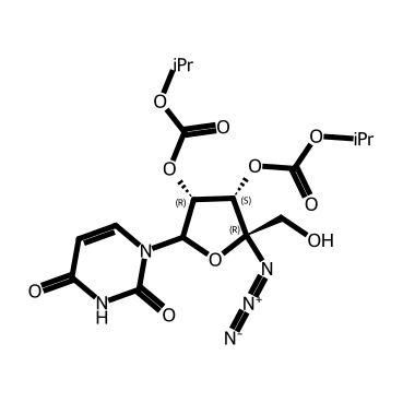 CC(C)OC(=O)O[C@H]1C(n2ccc(=O)[nH]c2=O)O[C@@](CO)(N=[N+]=[N-])[C@H]1OC(=O)OC(C)C